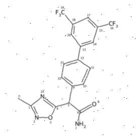 Cc1noc(C(C(N)=O)c2ccc(-c3cc(C(F)(F)F)cc(C(F)(F)F)c3)cc2)n1